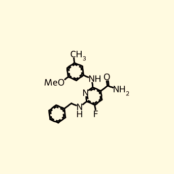 COc1cc(C)cc(Nc2nc(NCc3ccccc3)c(F)cc2C(N)=O)c1